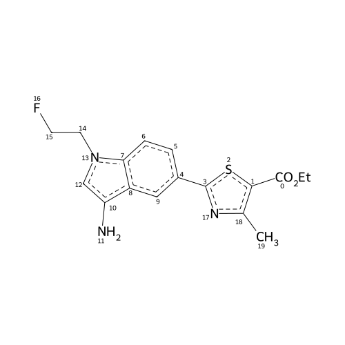 CCOC(=O)c1sc(-c2ccc3c(c2)c(N)cn3CCF)nc1C